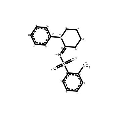 O=[N+]([O-])c1ccccc1S(=O)(=O)N=C1CCCCI1c1ccccc1